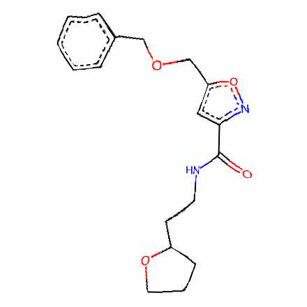 O=C(NCCC1CCCO1)c1cc(COCc2ccccc2)on1